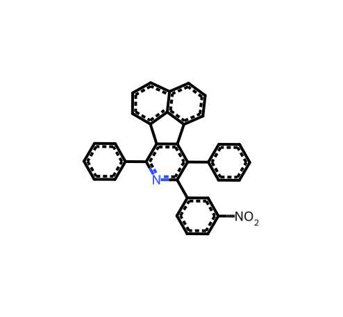 O=[N+]([O-])c1cccc(-c2nc(-c3ccccc3)c3c(c2-c2ccccc2)-c2cccc4cccc-3c24)c1